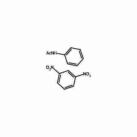 CC(=O)Nc1ccccc1.O=[N+]([O-])c1cccc([N+](=O)[O-])c1